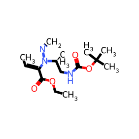 C=NN(/C(=C\C)C(=O)OCC)[C@H](C)CNC(=O)OC(C)(C)C